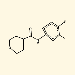 Cc1cc(NC(=O)C2CCOCC2)ccc1F